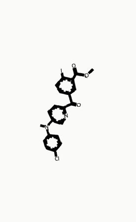 COC(=O)c1cc(C(=O)c2ccc(N(C)c3ccc(Cl)cc3)cn2)ccc1I